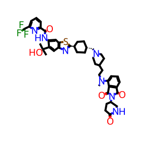 CN(CCC1CCN(C[C@H]2CC[C@H](c3nc4cc(C(C)(C)O)c(NC(=O)c5cccc(C(F)(F)F)n5)cc4s3)CC2)CC1)c1cccc2c1C(=O)N(C1CCC(=O)NC1)C2=O